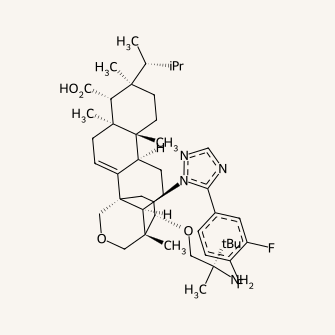 CC(C)[C@@H](C)[C@@]1(C)CC[C@]2(C)[C@H]3CC[C@@H]4[C@@]5(COC[C@@]4(C)[C@@H](OC[C@](C)(N)C(C)(C)C)[C@H](n4ncnc4-c4ccc(F)c(F)c4)C5)C3=CC[C@@]2(C)[C@@H]1C(=O)O